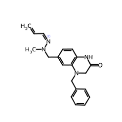 C=C/C=N\N(C)Cc1ccc2c(c1)N(Cc1ccccc1)CC(=O)N2